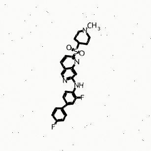 CN1CCC(S(=O)(=O)c2ccc3cnc(Nc4ccc(-c5ccc(F)cc5)cc4F)cc3n2)CC1